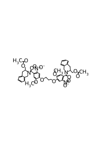 COc1cc(C(=O)N2Cc3ccccc3CC2COC(C)=O)c([N+](=O)[O-])cc1OCCCOc1cc([N+](=O)[O-])c(C(=O)N2Cc3ccccc3CC2COC(C)=O)cc1OC